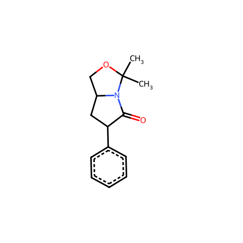 CC1(C)OCC2CC(c3ccccc3)C(=O)N21